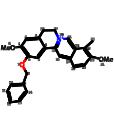 COc1cc2c(cc1OCc1ccccc1)-c1cc3ccc(OC)c(C)c3c[n+]1CC2